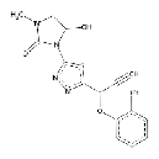 C#CC(Oc1ccccc1C(C)C)c1nnc(N2C(=O)N(C)CC2O)s1